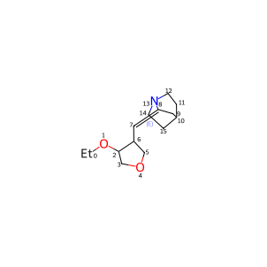 CCOC1COCC1/C=C1\CC2CCN1CC2